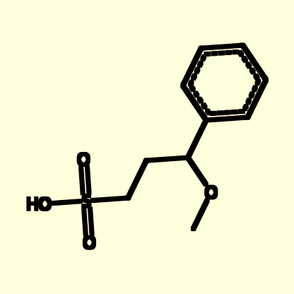 COC(CCS(=O)(=O)O)c1ccccc1